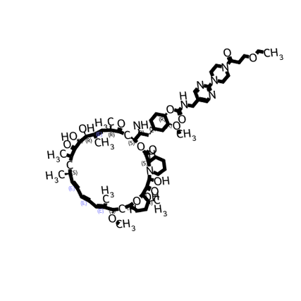 CCOCCC(=O)N1CCN(c2ncc(CNC(=O)O[C@@H]3CC[C@@H](C[C@@H](N)[C@@H]4CC(=O)[C@H](C)/C=C(\C)[C@@H](O)[C@@H](O)C(=O)C(C)C[C@H](C)/C=C/C=C/C=C(\C)[C@@H](OC)C[C@@H]5CC[C@@H](C)[C@@](O)(O5)C(=O)C(O)N5CCCC[C@H]5C(=O)O4)C[C@H]3OC)cn2)CC1